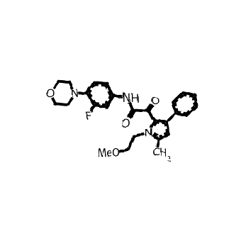 COCCn1c(C)cc(-c2ccccc2)c1C(=O)C(=O)Nc1ccc(N2CCOCC2)c(F)c1